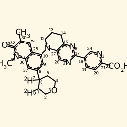 [2H]C1COCCC1([2H])c1cc(N2CCCc3nc(-c4ccc(C(=O)O)nc4)ncc32)c2cc(C)c(=O)n(C)c2c1